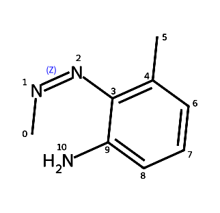 C/N=N\c1c(C)cccc1N